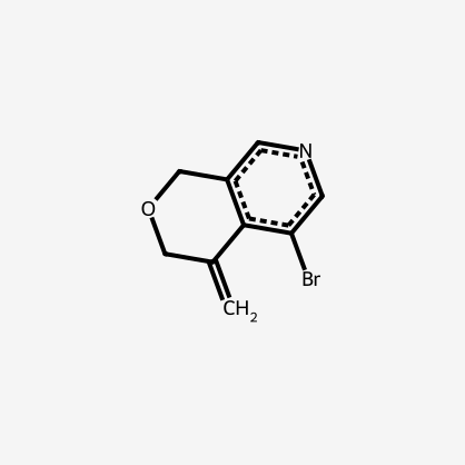 C=C1COCc2cncc(Br)c21